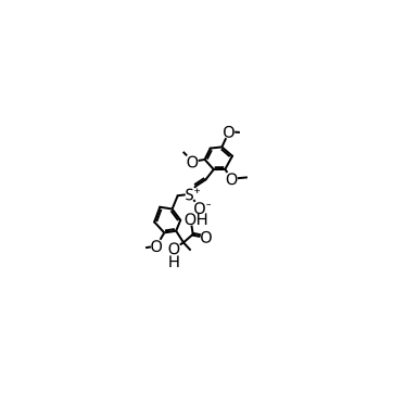 COc1cc(OC)c(C=C[S+]([O-])Cc2ccc(OC)c(C(C)(O)C(=O)O)c2)c(OC)c1